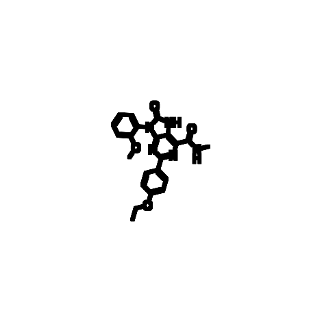 CCOc1ccc(-c2nc(C(=O)NC)c3[nH]c(=O)n(-c4ccccc4OC)c3n2)cc1